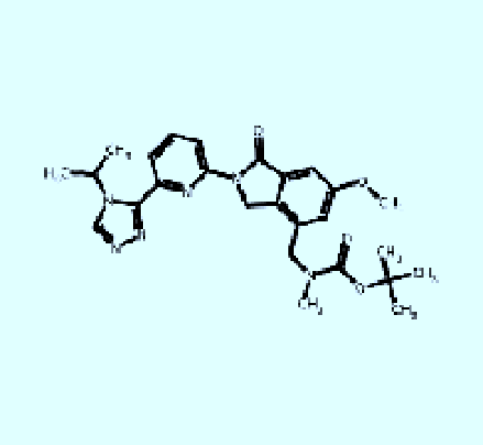 COc1cc(CN(C)C(=O)OC(C)(C)C)c2c(c1)C(=O)N(c1cccc(-c3nncn3C(C)C)n1)C2